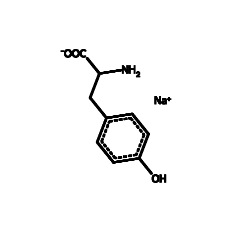 NC(Cc1ccc(O)cc1)C(=O)[O-].[Na+]